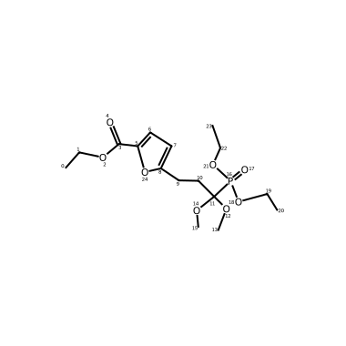 CCOC(=O)c1ccc(CCC(OC)(OC)P(=O)(OCC)OCC)o1